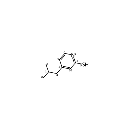 CC(C)Cc1ccnc(S)c1